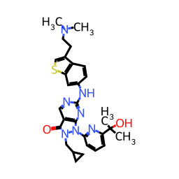 CN(C)CCc1csc2cc(Nc3ncc4c(=O)n(CC5CC5)n(-c5cccc(C(C)(C)O)n5)c4n3)ccc12